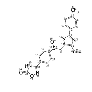 CCCCc1nc(-c2ccc(C(F)(F)F)cc2)sc1C[S+]([O-])c1ccc(-c2noc(=O)[nH]2)cc1